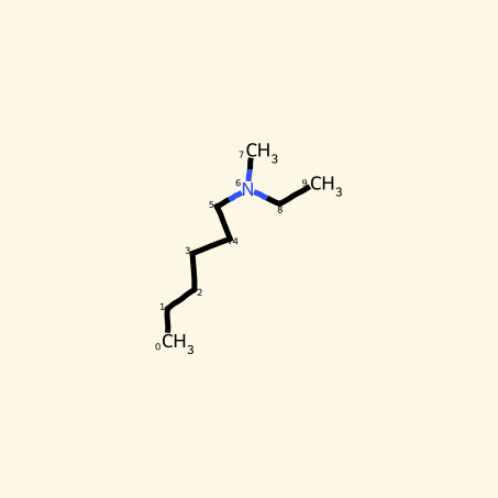 CCCC[CH]CN(C)CC